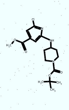 COC(=O)c1cc(Cl)nc(NC2CCN(C(=O)OC(C)(C)C)CC2)c1